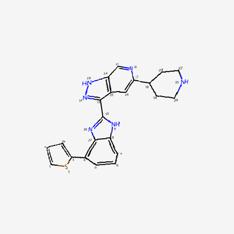 c1csc(-c2cccc3[nH]c(-c4n[nH]c5cnc(C6CCNCC6)cc45)nc23)c1